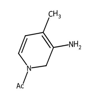 CC(=O)N1C=CC(C)=C(N)C1